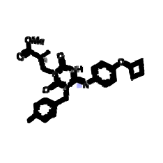 COC(=O)[C@@H](C)Cn1c(=O)[nH]/c(=N\c2ccc(OC3CCC3)cc2)n(Cc2ccc(C)cc2)c1=O